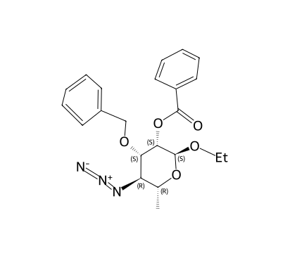 CCO[C@H]1O[C@H](C)[C@@H](N=[N+]=[N-])[C@H](OCc2ccccc2)[C@@H]1OC(=O)c1ccccc1